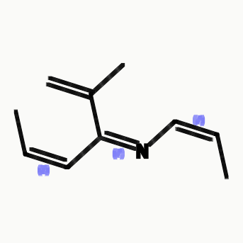 C=C(C)C(/C=C\C)=N\C=C/C